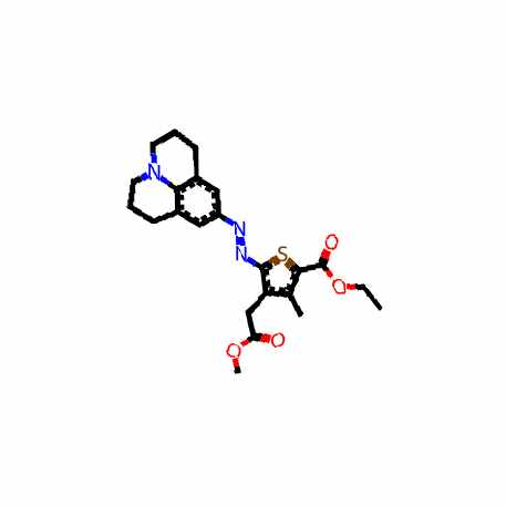 CCOC(=O)c1sc(N=Nc2cc3c4c(c2)CCCN4CCC3)c(CC(=O)OC)c1C